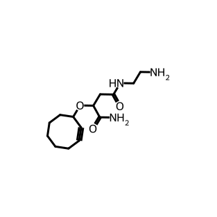 NCCNC(=O)CC(OC1C#CCCCCC1)C(N)=O